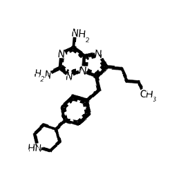 CCCCc1nc2c(N)nc(N)nn2c1Cc1ccc(C2CCNCC2)cc1